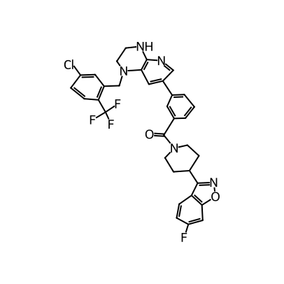 O=C(c1cccc(-c2cnc3c(c2)N(Cc2cc(Cl)ccc2C(F)(F)F)CCN3)c1)N1CCC(c2noc3cc(F)ccc23)CC1